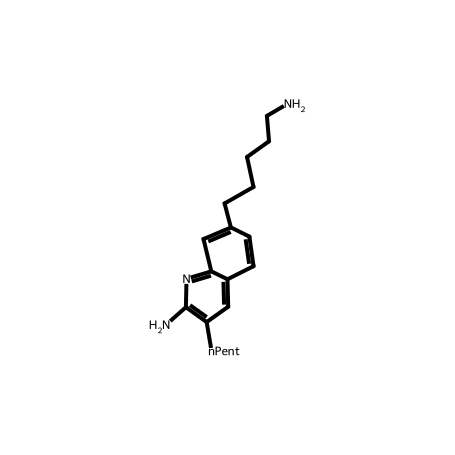 CCCCCc1cc2ccc(CCCCCN)cc2nc1N